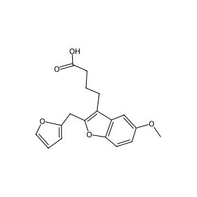 COc1ccc2oc(Cc3ccco3)c(CCCC(=O)O)c2c1